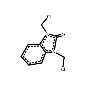 O=c1n(CCl)c2ccccc2n1CCl